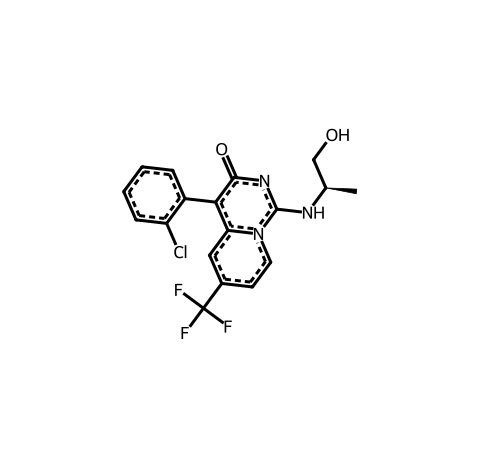 C[C@H](CO)Nc1nc(=O)c(-c2ccccc2Cl)c2cc(C(F)(F)F)ccn12